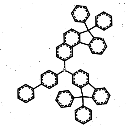 c1ccc(-c2ccc(N(c3ccc4c(c3)C(c3ccccc3)(c3ccccc3)c3ccccc3-4)c3ccc4ccc5c(c4c3)-c3ccccc3C5(c3ccccc3)c3ccccc3)cc2)cc1